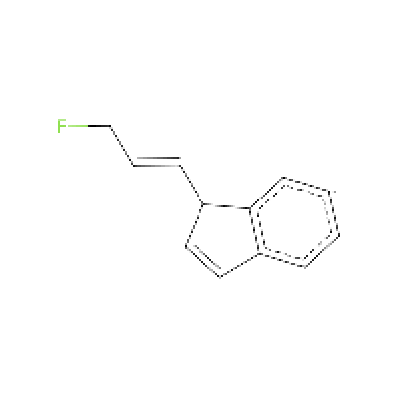 FC/C=C/C1C=Cc2cc[c]cc21